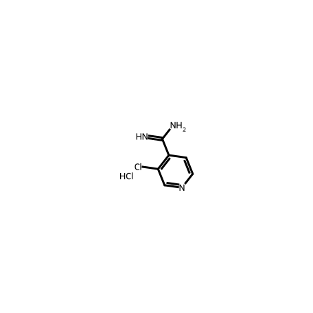 Cl.N=C(N)c1ccncc1Cl